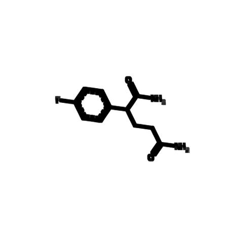 NC(=O)CCC(C(N)=O)c1ccc(F)cc1